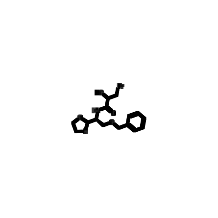 CC(C)CC(O)C(=O)N[C@@H](COCc1ccccc1)C1OCCO1